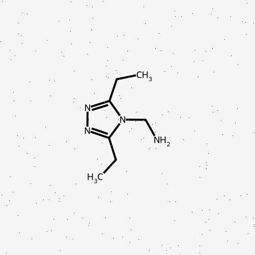 CCc1nnc(CC)n1CN